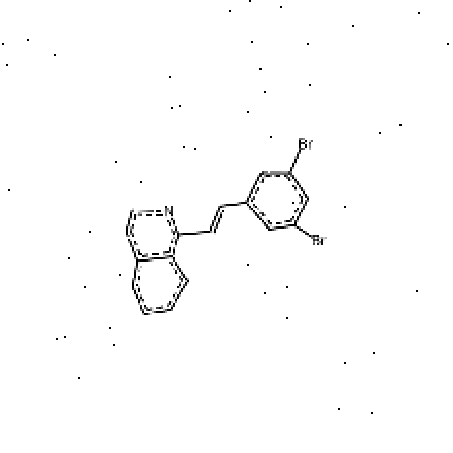 Brc1cc(Br)cc(C=Cc2nccc3ccccc23)c1